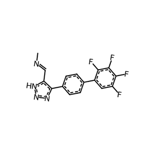 C/N=C/c1[nH]nnc1-c1ccc(-c2cc(F)c(F)c(F)c2F)cc1